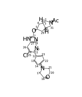 CC(=O)N1C[C@H]2C[C@H](Oc3nc4nc(-c5ccc(N6CCOCC6)cc5)c(Cl)cc4[nH]3)C[C@H]2C1